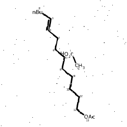 CC(=O)O.CCCCC=CCCCCCCCCOC(C)=O